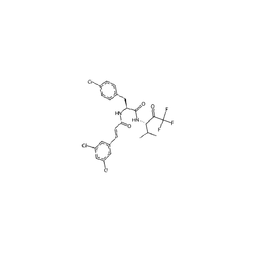 CC(C)[C@H](NC(=O)[C@H](Cc1ccc(Cl)cc1)NC(=O)C=Cc1cc(Cl)cc(Cl)c1)C(=O)C(F)(F)F